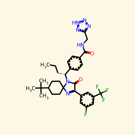 CCC[C@H](c1ccc(C(=O)NCc2nn[nH]n2)cc1)N1C(=O)C(c2cc(F)cc(C(F)(F)F)c2)=NC12CCC(C(C)(C)C)CC2